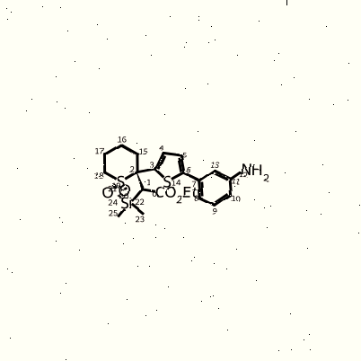 CCOC(=O)C([C@]1(c2ccc(-c3cccc(N)c3)s2)CCCCS1(=O)=O)[Si](C)(C)C